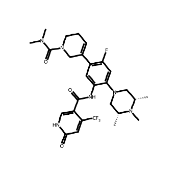 C[C@@H]1CN(c2cc(F)c(C3=CCCN(C(=O)N(C)C)C3)cc2NC(=O)c2c[nH]c(=O)cc2C(F)(F)F)C[C@H](C)N1C